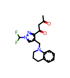 CC(=O)CC(=O)c1nn(C(F)F)cc1CN1CCCc2ccccc21